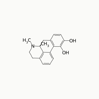 CN1CCc2cccc3c2[C@@]1(C)Cc1ccc(O)c(O)c1-3